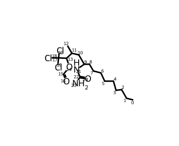 CCCCCCCCCC(CC(C)C(OC=O)C(Cl)(Cl)Cl)NC(N)=O